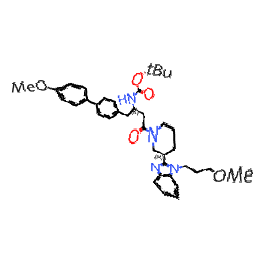 COCCCn1c([C@@H]2CCCN(C(=O)C[C@@H](Cc3ccc(-c4ccc(OC)cc4)cc3)NC(=O)OC(C)(C)C)C2)nc2ccccc21